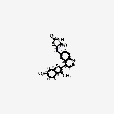 Cc1c(-c2ccnc3ccc(/C=C4/SC(=O)NC4=O)cc23)sc2cc(C#N)ccc12